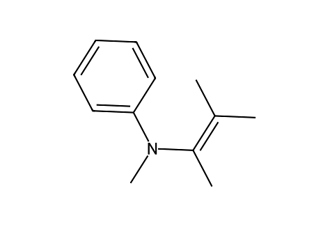 CC(C)=C(C)N(C)c1ccccc1